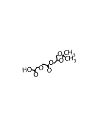 CC1(C)OCC(COC(=O)COCC(=O)O)O1